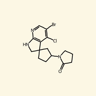 O=C1CCCN1C1CCC2(CNc3ncc(Br)c(Cl)c32)C1